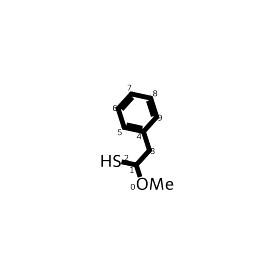 COC(S)Cc1ccccc1